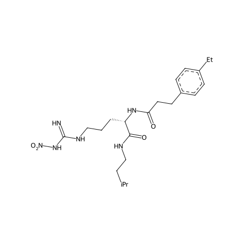 CCc1ccc(CCC(=O)N[C@@H](CCCNC(=N)N[N+](=O)[O-])C(=O)NCCC(C)C)cc1